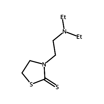 CCN(CC)CCN1CCSC1=S